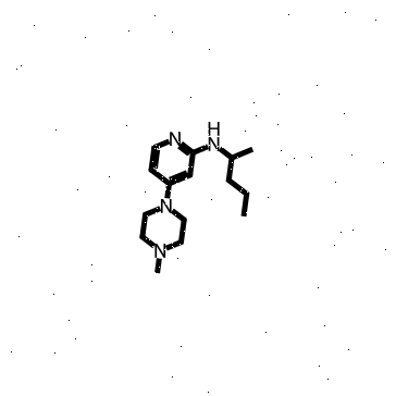 CCCC(C)Nc1cc(N2CCN(C)CC2)ccn1